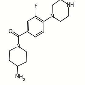 NC1CCN(C(=O)c2ccc(N3CCNCC3)c(F)c2)CC1